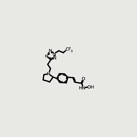 O=C(C=Cc1ccc(C2CCCN2CCc2nnn(CCC(F)(F)F)n2)cc1)NO